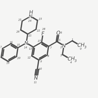 CCN(CC)C(=O)c1cc(C#N)cc(N(c2ccccc2)C2CCNCC2)c1F